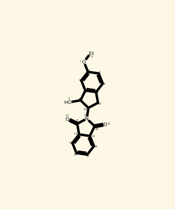 CCOc1ccc2c(c1)C(O)C(N1C(=O)c3ccccc3C1=O)C2